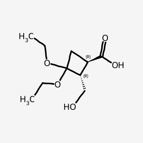 CCOC1(OCC)C[C@@H](C(=O)O)[C@@H]1CO